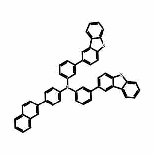 c1cc(-c2ccc3sc4ccccc4c3c2)cc(N(c2ccc(-c3ccc4ccccc4c3)cc2)c2cccc(-c3ccc4sc5ccccc5c4c3)c2)c1